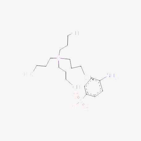 CCCC[P+](CCCC)(CCCC)CCCC.Nc1ccc(S(=O)(=O)[O-])cc1